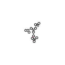 c1cc(-c2ccc(N(c3cccc(-c4cc5ccccc5c5ccccc45)c3)c3cccc(-c4cccc5c4oc4ccccc45)c3)cc2)cc(-c2ccccc2-n2c3ccccc3c3ccccc32)c1